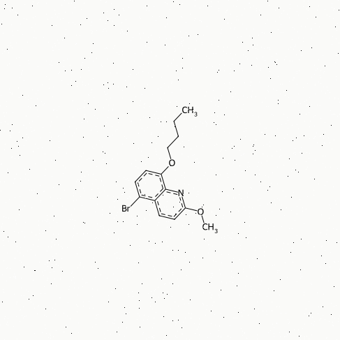 CCCCOc1ccc(Br)c2ccc(OC)nc12